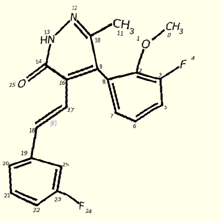 COc1c(F)cccc1-c1c(C)n[nH]c(=O)c1/C=C/c1cccc(F)c1